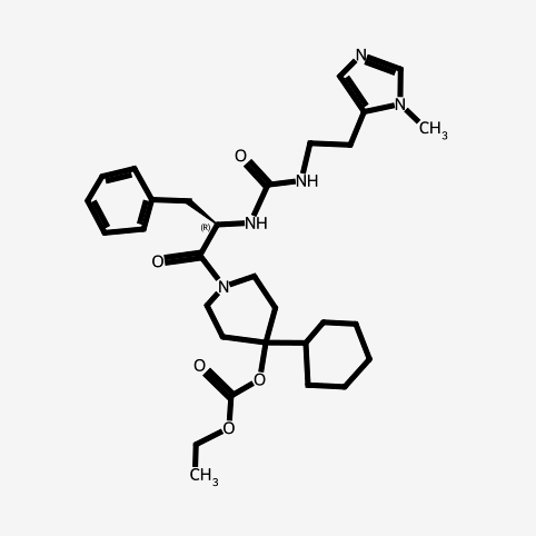 CCOC(=O)OC1(C2CCCCC2)CCN(C(=O)[C@@H](Cc2ccccc2)NC(=O)NCCc2cncn2C)CC1